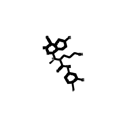 C[C@H](c1n[nH]c(=O)c2cc(Cl)ccc12)N(CCCO)C(=O)Nc1ccc(F)c(Cl)c1